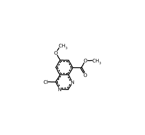 COC(=O)c1cc(OC)cc2c(Cl)ncnc12